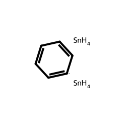 [SnH4].[SnH4].[c]1ccccc1